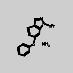 CCCn1ncc2ccc(Sc3ccccc3)cc21.N